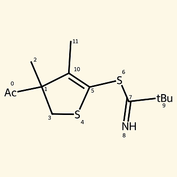 CC(=O)C1(C)CSC(SC(=N)C(C)(C)C)=C1C